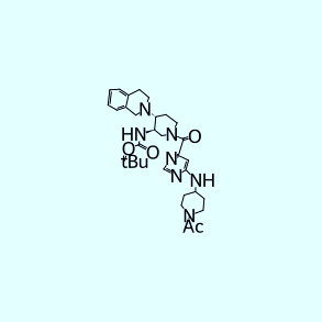 CC(=O)N1CCC(Nc2cc(C(=O)N3CC[C@@H](N4CCc5ccccc5C4)[C@H](NC(=O)OC(C)(C)C)C3)ncn2)CC1